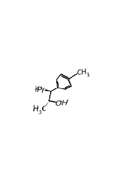 Cc1ccc([C@H](C(C)C)[C@@H](C)O)cc1